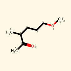 COCCCC(C)C(C)=O